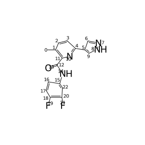 Cc1ccc(-c2cn[nH]c2)nc1C(=O)Nc1ccc(F)c(F)c1